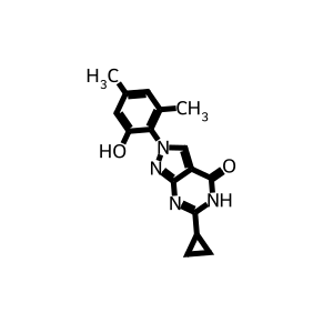 Cc1cc(C)c(-n2cc3c(=O)[nH]c(C4CC4)nc3n2)c(O)c1